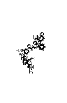 CC(C)Oc1c(-c2cn[nH]c2)ncc2nc(N[C@H]3CCN(C(=O)CCCn4c(=O)n(C5CCC(=O)NC5=O)c5ccccc54)C[C@H]3C)nn12